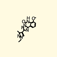 CCn1cc(-c2nc3c4cccc(OC)c4[nH]c(=O)n3n2)c(C)n1